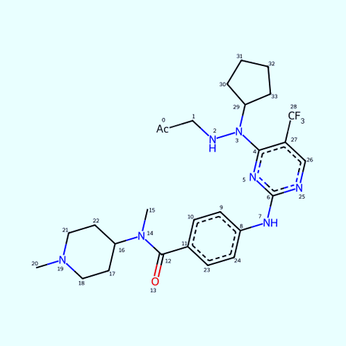 CC(=O)CNN(c1nc(Nc2ccc(C(=O)N(C)C3CCN(C)CC3)cc2)ncc1C(F)(F)F)C1CCCC1